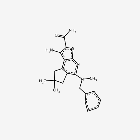 CN(Cc1ccccc1)c1nc2sc(C(N)=O)c(N)c2c2c1CC(C)(C)C2